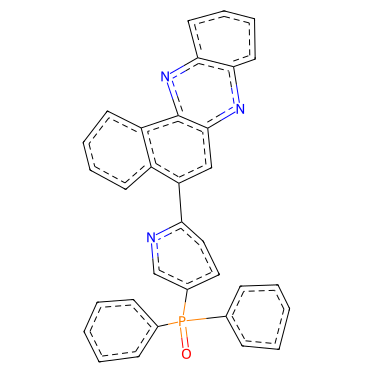 O=P(c1ccccc1)(c1ccccc1)c1ccc(-c2cc3nc4ccccc4nc3c3ccccc23)nc1